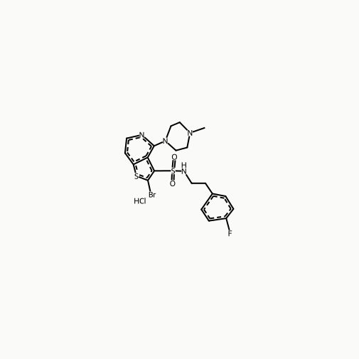 CN1CCN(c2nccc3sc(Br)c(S(=O)(=O)NCCc4ccc(F)cc4)c23)CC1.Cl